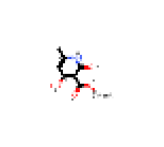 CCCCCOC(=O)c1c(O)cc(C)[nH]c1=O